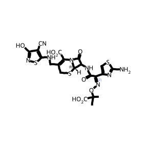 CC(C)(O/N=C(\C(=O)NC1C(=O)N2C(C(=O)O)=C(CNc3snc(O)c3C#N)CS[C@H]12)c1csc(N)n1)C(=O)O